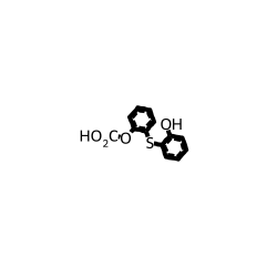 O=C(O)Oc1ccccc1Sc1ccccc1O